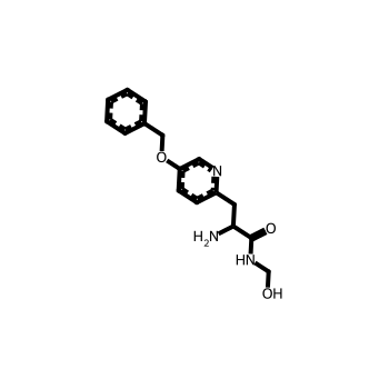 NC(Cc1ccc(OCc2ccccc2)cn1)C(=O)NCO